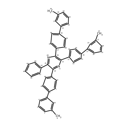 Cc1cccc(-c2ccc(-c3nc(-c4ccc(-c5cccc(C)c5)cc4)c(-c4ccc(-c5cccc(C)c5)cc4)nc3-c3ccccc3)cc2)c1